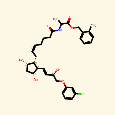 Cc1ccccc1COC(=O)C(C)NC(=O)CCC/C=C\C[C@@H]1[C@@H](/C=C/[C@@H](O)COc2cccc(Cl)c2)[C@H](O)C[C@@H]1O